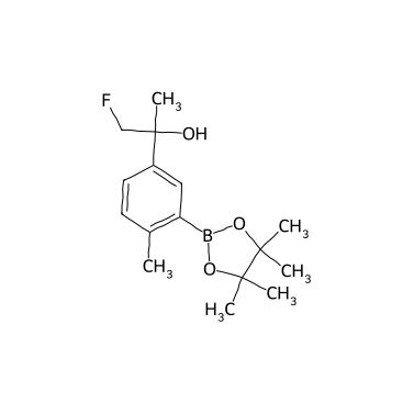 Cc1ccc(C(C)(O)CF)cc1B1OC(C)(C)C(C)(C)O1